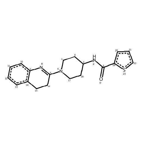 O=C(NC1CCN(C2=Nc3ccccc3CC2)CC1)c1cccs1